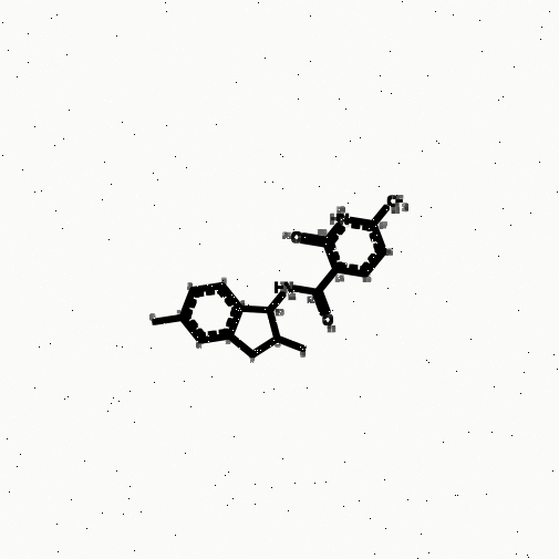 Cc1ccc2c(c1)CC(C)C2NC(=O)c1ccc(C(F)(F)F)[nH]c1=O